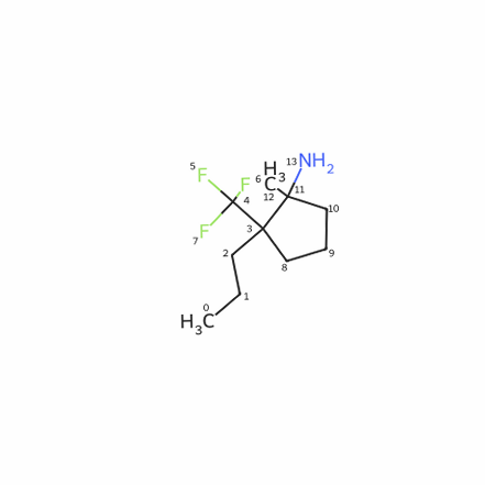 CCCC1(C(F)(F)F)CCCC1(C)N